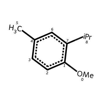 COc1ccc(C)cc1C(C)C